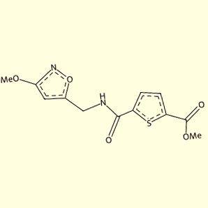 COC(=O)c1ccc(C(=O)NCc2cc(OC)no2)s1